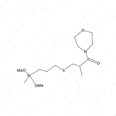 CO[Si](C)(CCCSCC(C)C(=O)N1CCOCC1)OC